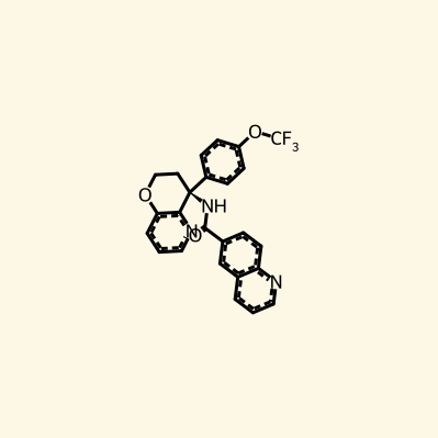 O=C(N[C@]1(c2ccc(OC(F)(F)F)cc2)CCOc2cccnc21)c1ccc2ncccc2c1